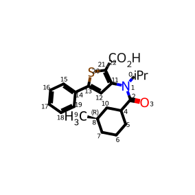 CC(C)N(C(=O)C1CCC[C@@H](C)C1)c1cc(-c2ccccc2)sc1C(=O)O